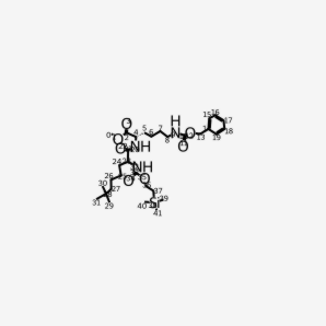 COC(=O)[C@H](CCCCNC(=O)OCc1ccccc1)NC(=O)C(CCCCC(C)(C)C)NC(=O)OCC[Si](C)(C)C